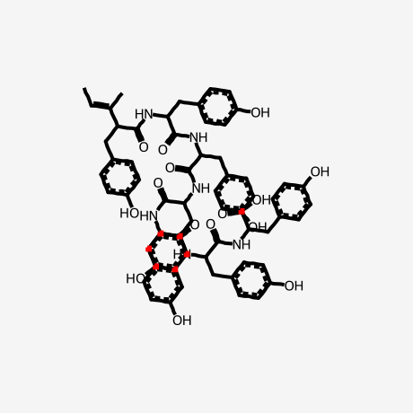 CC=C(C)C(Cc1ccc(O)cc1)C(=O)NC(Cc1ccc(O)cc1)C(=O)NC(Cc1ccc(O)cc1)C(=O)NC(Cc1ccc(O)cc1)C(=O)NC(Cc1ccc(O)cc1)C(=O)NC(Cc1ccc(O)cc1)C(=O)NC(Cc1ccc(O)cc1)C(=O)O